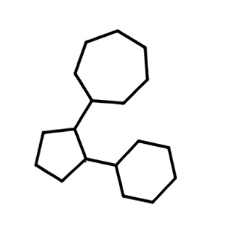 C1CCC([C]2CCCC2C2CCCCCC2)CC1